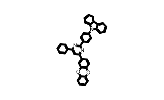 c1ccc(-c2cc(-c3ccc4c(c3)Oc3ccccc3O4)nc(-c3ccc(-n4c5ccccc5c5ccccc54)cc3)n2)cc1